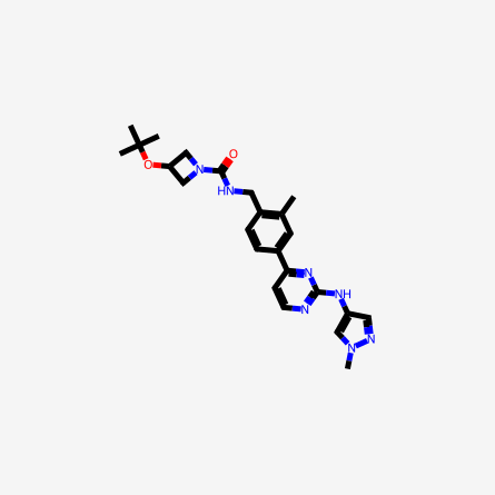 Cc1cc(-c2ccnc(Nc3cnn(C)c3)n2)ccc1CNC(=O)N1CC(OC(C)(C)C)C1